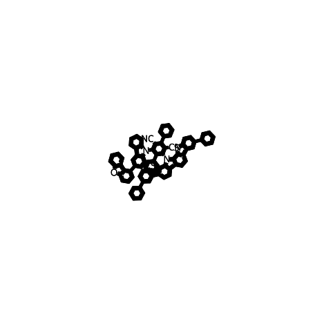 N#Cc1c(-c2ccccc2)c(C#N)c(-n2c3c(ccc4c5cc(-c6ccccc6)ccc5sc43)c3ccc4c5cc(-c6ccccc6)ccc5sc4c32)c(-c2ccccc2)c1-n1c2ccccc2c2cc(-c3cccc4oc5ccccc5c34)ccc21